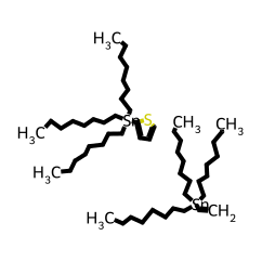 C=[CH][Sn]([CH2]CCCCCCC)([CH2]CCCCCCC)[CH2]CCCCCCC.CCCCCCC[CH2][Sn]([CH2]CCCCCCC)([CH2]CCCCCCC)[c]1cccs1